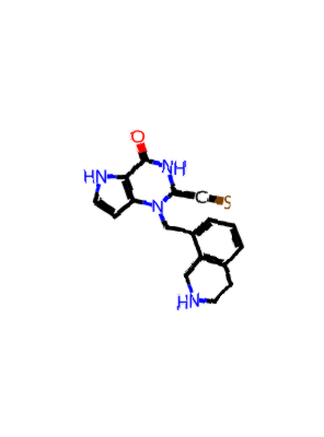 O=C1NC(=C=S)N(Cc2cccc3c2CNCC3)c2cc[nH]c21